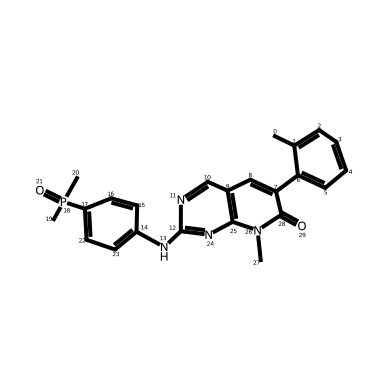 Cc1ccccc1-c1cc2cnc(Nc3ccc(P(C)(C)=O)cc3)nc2n(C)c1=O